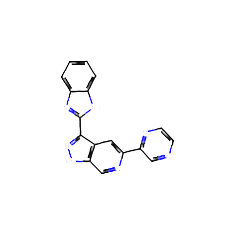 c1ccc2[nH]c(-c3n[nH]c4cnc(-c5cnccn5)cc34)nc2c1